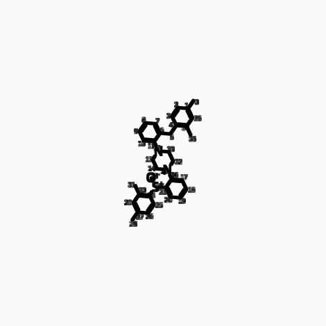 Cc1ccc(Cc2ccccc2N2CCN(c3ccccc3[S+]([O-])c3ccc(C)cc3C)CC2)c(C)c1